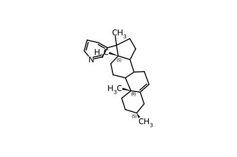 C[C@H]1CC[C@@]2(C)C(=CCC3C2CC[C@@]2(C)C3CCC2(C)c2cccnc2)C1